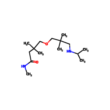 CNC(=O)CC(C)(C)COCC(C)(C)CNC(C)C